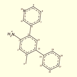 Cc1cc(N)c(-c2cccnc2)cc1-c1ccccc1